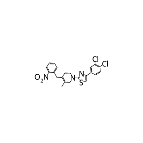 CC1=C(Cc2ccccc2[N+](=O)[O-])C=CN(c2nc(-c3ccc(Cl)c(Cl)c3)cs2)C1